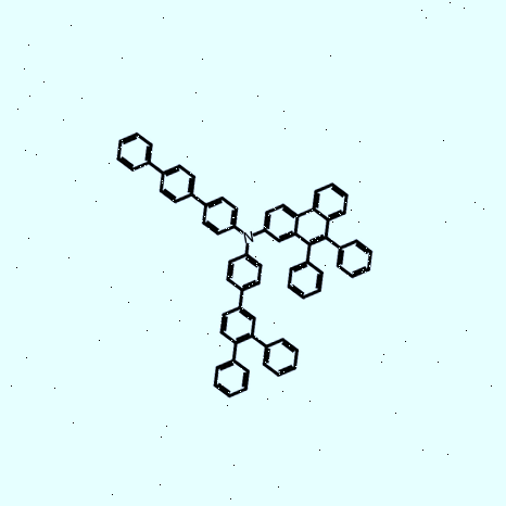 c1ccc(-c2ccc(-c3ccc(N(c4ccc(-c5ccc(-c6ccccc6)c(-c6ccccc6)c5)cc4)c4ccc5c(c4)c(-c4ccccc4)c(-c4ccccc4)c4ccccc45)cc3)cc2)cc1